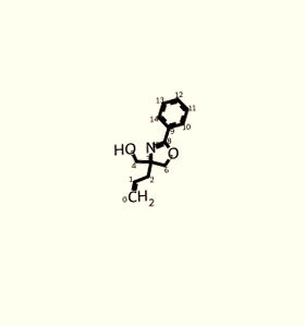 C=CCC1(CO)COC(c2ccccc2)=N1